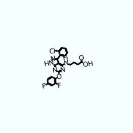 O=C(O)CCCNc1nc(Oc2ccc(F)cc2F)nc2[nH]nc(-c3ccccc3Cl)c12